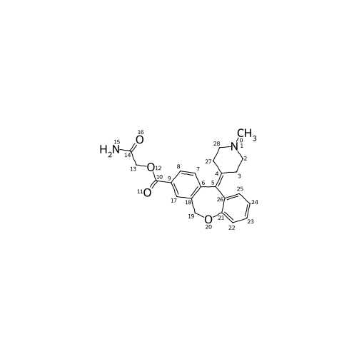 CN1CCC(=C2c3ccc(C(=O)OCC(N)=O)cc3COc3ccccc32)CC1